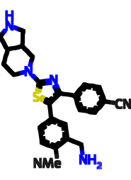 CNc1ccc(-c2sc(N3CCC4CNCC4C3)nc2-c2ccc(C#N)cc2)cc1CN